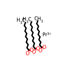 CCCCCCCCCCCC(=O)[O-].CCCCCCCCCCCC(=O)[O-].CCCCCCCCCCCC(=O)[O-].[Pr+3]